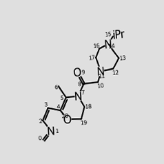 C=N/C=C\C1=C(C)N(C(=O)CN2CCN(C(C)C)CC2)CCO1